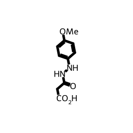 COc1ccc(NNC(=O)CC(=O)O)cc1